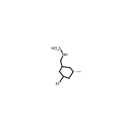 CCC1CC(CNS(=O)(=O)O)C[C@H](C)C1